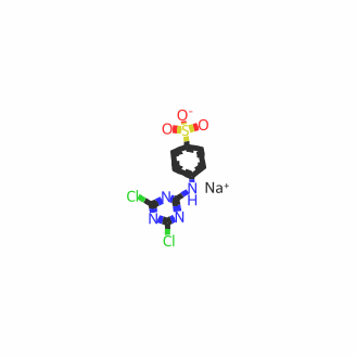 O=S(=O)([O-])c1ccc(Nc2nc(Cl)nc(Cl)n2)cc1.[Na+]